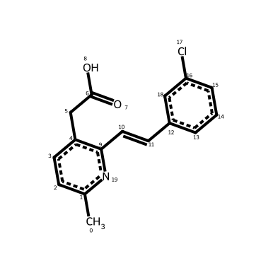 Cc1ccc(CC(=O)O)c(C=Cc2cccc(Cl)c2)n1